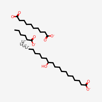 CCCCCC(=O)[O-].CCCCCCC(O)CCCCCCCCCCC(=O)[O-].O=C([O-])CCCCCCCCC(=O)[O-].[Li+].[Li+].[Li+].[Li+]